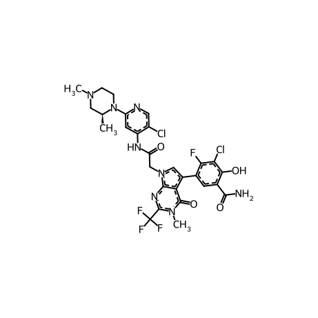 C[C@H]1CN(C)CCN1c1cc(NC(=O)Cn2cc(-c3cc(C(N)=O)c(O)c(Cl)c3F)c3c(=O)n(C)c(C(F)(F)F)nc32)c(Cl)cn1